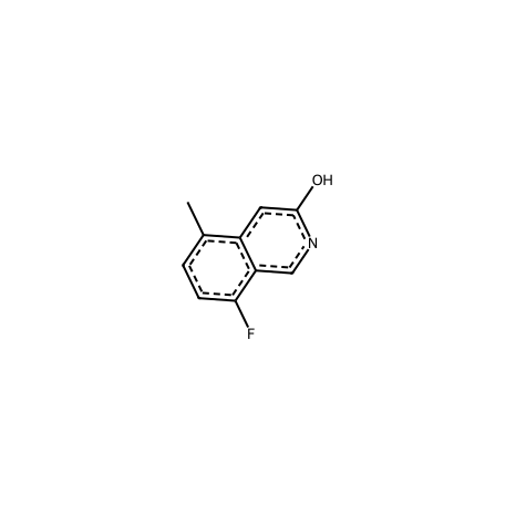 Cc1ccc(F)c2cnc(O)cc12